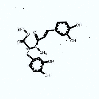 CCCOC(=O)[C@@H](Cc1ccc(O)c(O)c1)N(C)C(=O)C=Cc1ccc(O)c(O)c1